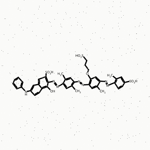 Cc1cc(S(=O)(=O)O)ccc1N=Nc1cc(OCCCS(=O)(=O)O)c(N=Nc2cc(C)c(N=Nc3c(S(=O)(=O)O)cc4cc(Nc5ccccc5)ccc4c3O)cc2C)cc1C